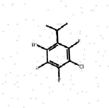 CC(C)c1c(F)c(Cl)c(F)c(F)c1Br